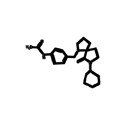 CC(=O)Nc1ccc(CN2CCCC23CCN(C2CCCCC2)C3=O)cc1